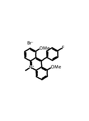 COc1cccc2c1c(-c1ccc(F)cc1)c1c(OC)cccc1[n+]2C.[Br-]